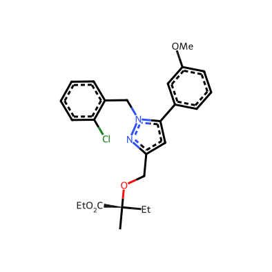 CCOC(=O)[C@](C)(CC)OCc1cc(-c2cccc(OC)c2)n(Cc2ccccc2Cl)n1